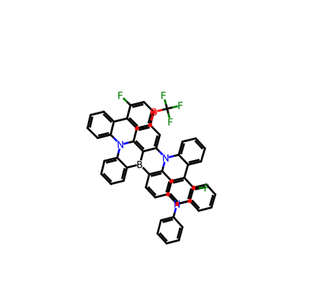 Fc1ccccc1-c1ccccc1N1c2ccccc2B2c3ccc(N(c4ccccc4)c4ccccc4)cc3N(c3ccccc3-c3ccccc3F)c3cc(OC(F)(F)F)cc1c32